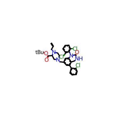 C=CCN1CCN(Cc2cc(-c3ccccc3Cl)c3c(c2)N(c2c(Cl)cccc2Cl)C(=O)NC3)CC1C(=O)OC(C)(C)C